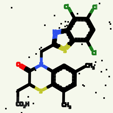 Cc1cc(C)c2c(c1)N(Cc1nc3c(Cl)c(Cl)cc(Cl)c3s1)C(=O)C(CC(=O)O)S2